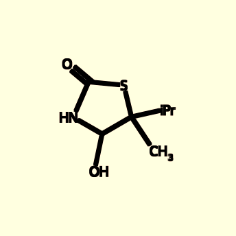 CC(C)C1(C)SC(=O)NC1O